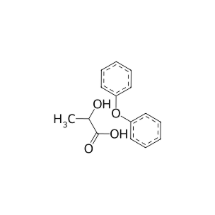 CC(O)C(=O)O.c1ccc(Oc2ccccc2)cc1